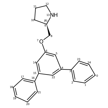 c1ccc(-c2cc(OC[C@H]3CCCN3)cc(-c3ccccc3)c2)cc1